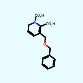 O=C(O)C1=C(COCc2ccccc2)C=CCN1C(=O)O